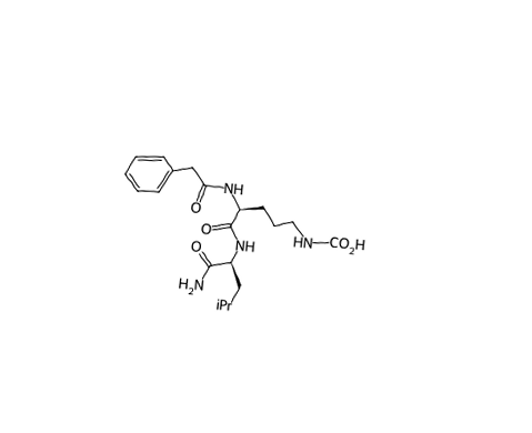 CC(C)C[C@H](NC(=O)[C@H](CCCNC(=O)O)NC(=O)Cc1ccccc1)C(N)=O